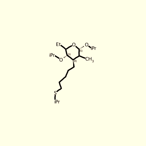 CCC1O[C@H](OC(C)C)C(C)[C@@H](CCCCCSC(C)C)[C@@H]1OC(C)C